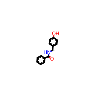 O=C(N[CH]c1ccc(O)cc1)c1ccccc1